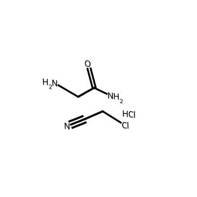 Cl.N#CCCl.NCC(N)=O